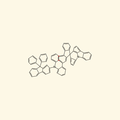 c1ccc(N(c2ccc3c(c2)C(c2ccccc2)(c2ccccc2)c2ccccc2-3)c2ccccc2-c2ccc3c(c2)C2(c4ccccc4-3)c3ccccc3-n3c4ccccc4c4cccc2c43)cc1